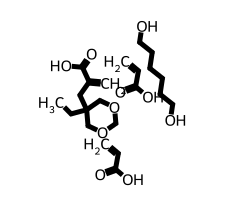 C=C(CC1(CC)COCOC1)C(=O)O.C=CC(=O)O.C=CC(=O)O.OCCCCCCO